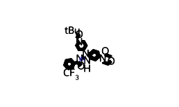 CC(C)(C)OCN1CCC(n2/c(=N/C(=O)c3cccc(C(F)(F)F)c3)[nH]c3cc(N4CCOCC4=O)ccc32)CC1